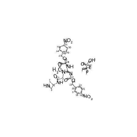 CN(CC(=O)NC1CNC1)/C(=N\C(=O)OCc1ccc([N+](=O)[O-])cc1)NC(=O)OCc1ccc([N+](=O)[O-])cc1.O=C(O)C(F)(F)F